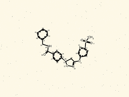 CS(=O)(=O)c1ccc(OC2=NO[C@@H](c3ccc(C(=O)NCc4ccccc4)cc3)C2)cn1